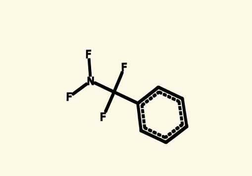 FN(F)C(F)(F)c1ccccc1